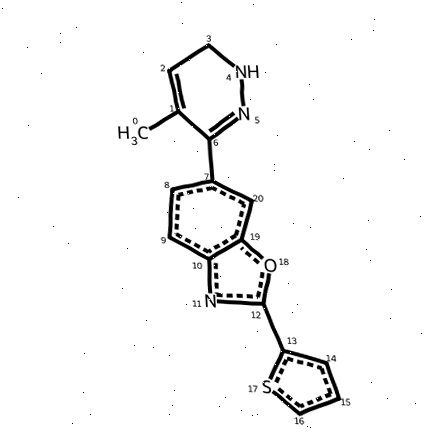 CC1=CCNN=C1c1ccc2nc(-c3cccs3)oc2c1